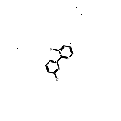 Clc1cccc(-c2ncccc2Br)n1